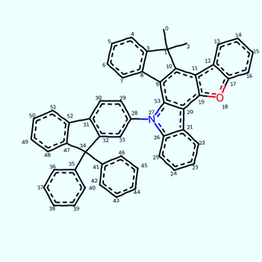 CC1(C)c2ccccc2-c2c1c1c3ccccc3oc1c1c3ccccc3n(-c3ccc4c(c3)C(c3ccccc3)(c3ccccc3)c3ccccc3-4)c21